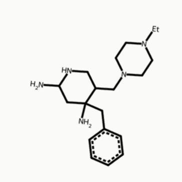 CCN1CCN(CC2CNC(N)CC2(N)Cc2ccccc2)CC1